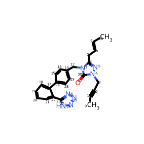 CC#CCn1nc(CC=CC)n(Cc2ccc(-c3ccccc3-c3nnn[nH]3)cc2)c1=O